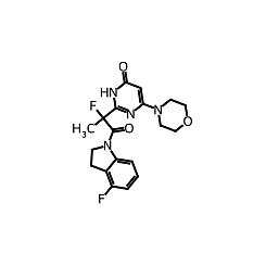 CC(F)(C(=O)N1CCc2c(F)cccc21)c1nc(N2CCOCC2)cc(=O)[nH]1